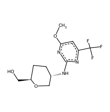 COc1cc(C(F)(F)F)nc(N[C@H]2CC[C@H](CO)OC2)n1